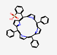 O=S(=O)(O)c1ccccc1-c1c2nc(c(-c3ccccc3)c3ccc([nH]3)c(-c3ccccc3)c3nc(c(-c4ccccc4)c4ccc1[nH]4)C=C3)C=C2